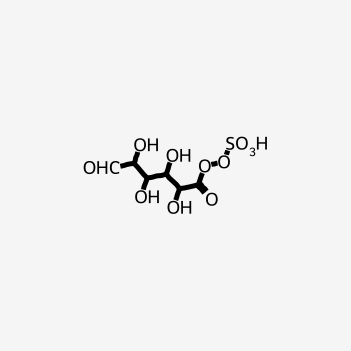 O=CC(O)C(O)C(O)C(O)C(=O)OOS(=O)(=O)O